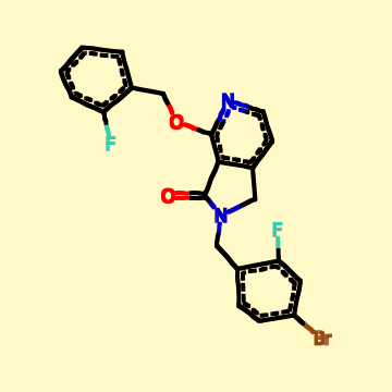 O=C1c2c(ccnc2OCc2ccccc2F)CN1Cc1ccc(Br)cc1F